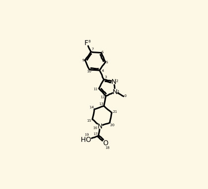 Cn1nc(-c2ccc(F)cc2)cc1C1CCN(C(=O)O)CC1